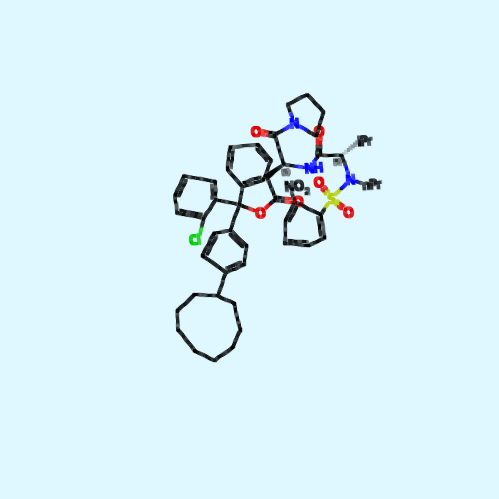 CCCN([C@H](C(=O)N[C@@H](CC(=O)OC(c1ccccc1)(c1ccc(C2CCCCCCCC2)cc1)c1ccccc1Cl)C(=O)N1CCCC1)C(C)C)S(=O)(=O)c1ccccc1[N+](=O)[O-]